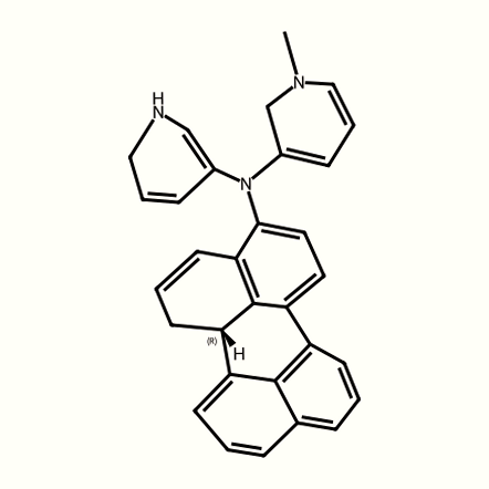 CN1C=CC=C(N(C2=CNCC=C2)c2ccc3c4c2C=CC[C@H]4c2cccc4cccc-3c24)C1